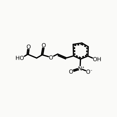 O=C(O)CC(=O)OC=Cc1cccc(O)c1[N+](=O)[O-]